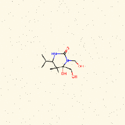 CC(C)C1NC(=O)N(CO)C(O)(CO)C1(C)C